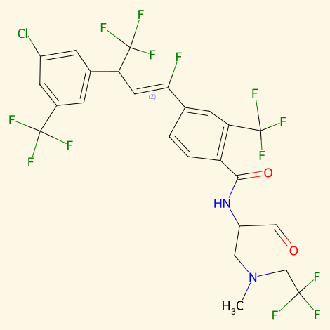 CN(CC(C=O)NC(=O)c1ccc(/C(F)=C/C(c2cc(Cl)cc(C(F)(F)F)c2)C(F)(F)F)cc1C(F)(F)F)CC(F)(F)F